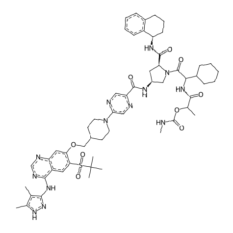 CNC(=O)OC(C)C(=O)NC(C(=O)N1C[C@@H](NC(=O)c2cnc(N3CCC(COc4cc5ncnc(Nc6n[nH]c(C)c6C)c5cc4S(=O)(=O)C(C)(C)C)CC3)cn2)C[C@H]1C(=O)N[C@@H]1CCCc2ccccc21)C1CCCCC1